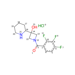 Cl.O=C(c1ccc(F)c(F)c1F)N1CC(O)(C2CCCCN2)C1